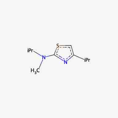 CC(C)c1csc(N(C)C(C)C)n1